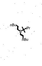 CCCCC=CB(C=CCCCC)C(C)(C)C(C)C